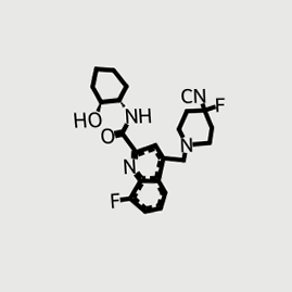 N#CC1(F)CCN(Cc2cc(C(=O)N[C@H]3CCCC[C@@H]3O)nc3c(F)cccc23)CC1